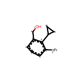 CCCc1cccc(CO)c1C1CC1